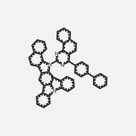 c1ccc(-c2ccc(-c3nc(-n4c5c6ccccc6ccc5c5cc6c7ccccc7n7c8ccccc8c(c54)c67)nc4c3ccc3ccccc34)cc2)cc1